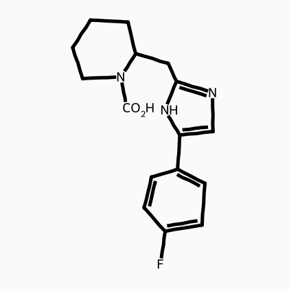 O=C(O)N1CCCCC1Cc1ncc(-c2ccc(F)cc2)[nH]1